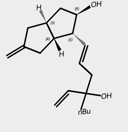 C=CC(O)(CC=C[C@@H]1[C@@H]2CC(=C)C[C@H]2C[C@H]1O)CCCC